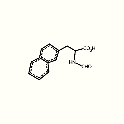 O=CNC(Cc1ccc2ccccc2c1)C(=O)O